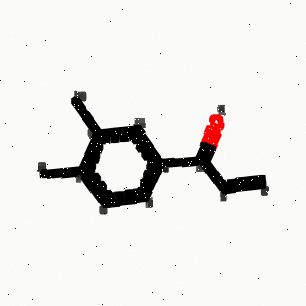 C=CC(=O)c1ccc(C)c(C)c1